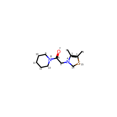 CC1=C(C)N(CC(=O)N2CCCCC2)CS1